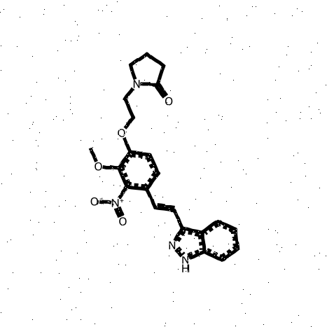 COc1c(OCCN2CCCC2=O)ccc(/C=C/c2n[nH]c3ccccc23)c1[N+](=O)[O-]